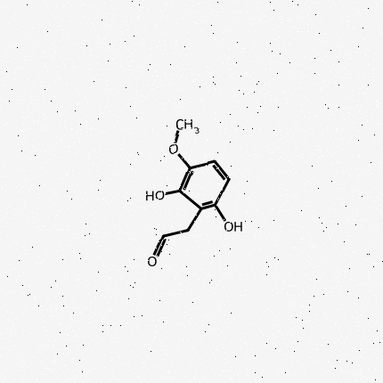 COc1ccc(O)c(CC=O)c1O